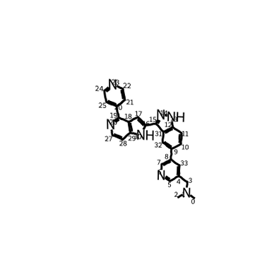 CN(C)Cc1cncc(-c2ccc3[nH]nc(-c4cc5c(-c6ccncc6)nccc5[nH]4)c3c2)c1